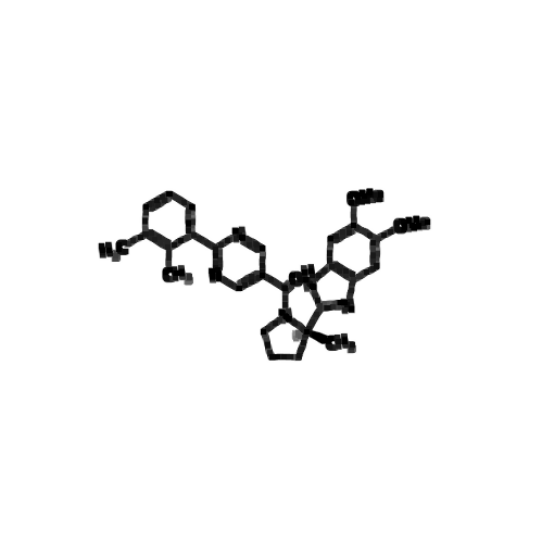 COc1cc2nc([C@]3(C)CCCN3C(=O)c3cnc(-c4cccc(C)c4C)nc3)[nH]c2cc1OC